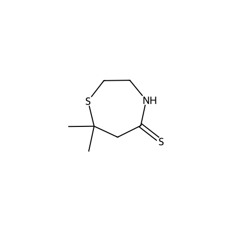 CC1(C)CC(=S)NCCS1